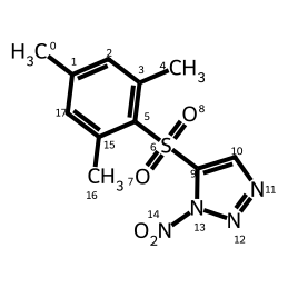 Cc1cc(C)c(S(=O)(=O)c2cnnn2[N+](=O)[O-])c(C)c1